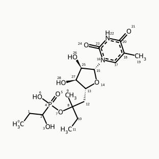 CCC(O)P(=O)(O)OC(C)(CC)C[C@H]1O[C@@H](n2cc(C)c(=O)[nH]c2=O)[C@H](O)[C@@H]1O